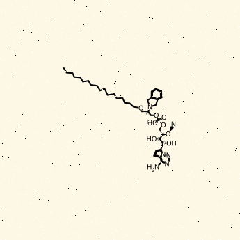 CCCCCCCCCCCCCCCCCCOC[C@H](COP(=O)(O)OC[C@@H](OC#N)[C@@H](O)[C@@H](O)c1ccc2c(N)ncnn12)N1Cc2ccccc2C1